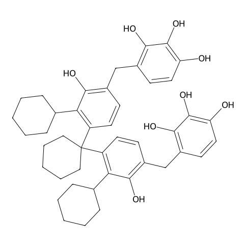 Oc1ccc(Cc2ccc(C3(c4ccc(Cc5ccc(O)c(O)c5O)c(O)c4C4CCCCC4)CCCCC3)c(C3CCCCC3)c2O)c(O)c1O